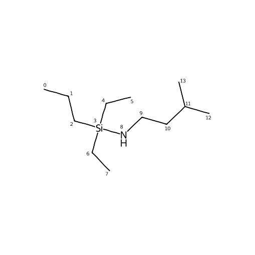 CCC[Si](CC)(CC)NCCC(C)C